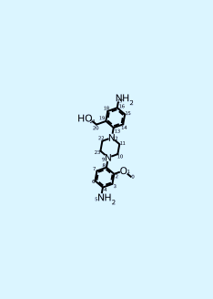 COc1cc(N)ccc1N1CCN(c2ccc(N)cc2CO)CC1